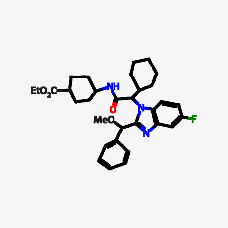 CCOC(=O)C1CCC(NC(=O)C(C2CCCCC2)n2c(C(OC)c3ccccc3)nc3cc(F)ccc32)CC1